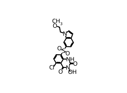 COCCn1ccc2ccc(S(=O)(=O)c3ccc(Cl)c4c(=O)n(O)c(=O)[nH]c34)cc21